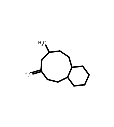 C=C1CCC2CCCCC2CCC(C)C1